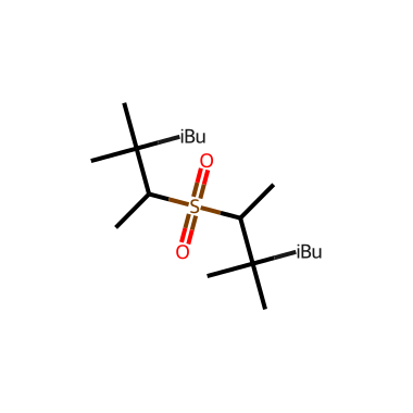 CCC(C)C(C)(C)C(C)S(=O)(=O)C(C)C(C)(C)C(C)CC